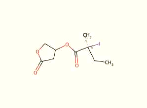 CC[C@](C)(I)C(=O)OC1COC(=O)C1